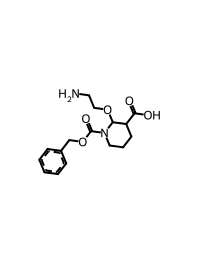 NCCOC1C(C(=O)O)CCCN1C(=O)OCc1ccccc1